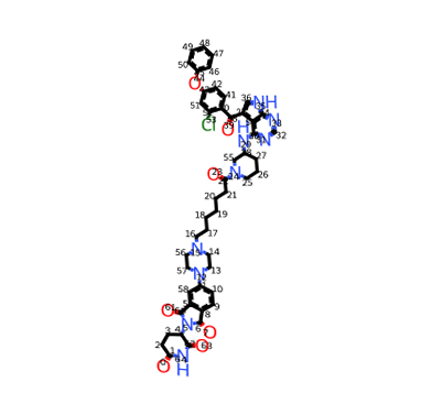 O=C1CCC(N2C(=O)c3ccc(N4CCN(CCCCCCC(=O)N5CCCC(Nc6ncnc7[nH]cc(C(=O)c8ccc(Oc9ccccc9)cc8Cl)c67)C5)CC4)cc3C2=O)C(=O)N1